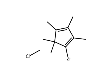 CC1=C(C)C(C)(C)[C]([Zr])=C1C.CCl